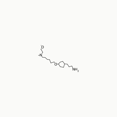 COCCN(C)CCCCCCOC1CCC(CCCN)CC1